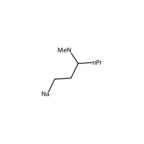 CCCC(C[CH2][Na])NC